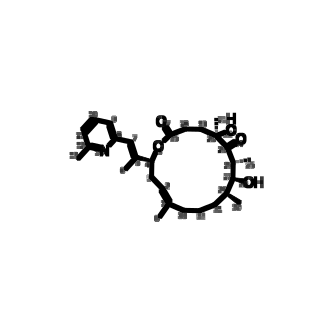 C/C1=C\C[C@@H](/C(C)=C/c2cc#cc(C)n2)OC(=O)CC[C@@](C)(O)C(=O)[C@H](C)[C@@H](O)[C@@H](C)CCC1